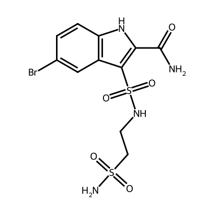 NC(=O)c1[nH]c2ccc(Br)cc2c1S(=O)(=O)NCCS(N)(=O)=O